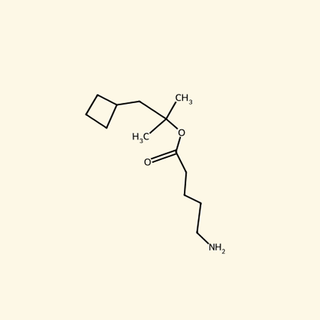 CC(C)(CC1CCC1)OC(=O)CCCCN